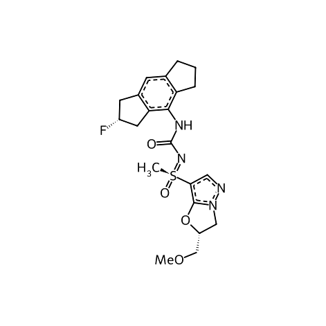 COC[C@H]1Cn2ncc([S@](C)(=O)=NC(=O)Nc3c4c(cc5c3C[C@H](F)C5)CCC4)c2O1